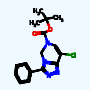 CC(C)(C)OC(=O)N1C=C(Cl)c2nnc(-c3ccccc3)n2C1